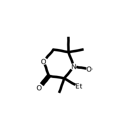 CCC1(C)C(=O)OCC(C)(C)N1[O]